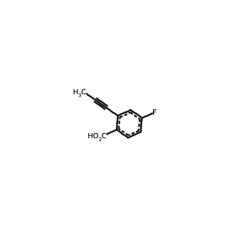 CC#Cc1cc(F)ccc1C(=O)O